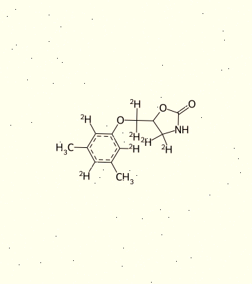 [2H]c1c(C)c([2H])c(OC([2H])([2H])C2OC(=O)NC2([2H])[2H])c([2H])c1C